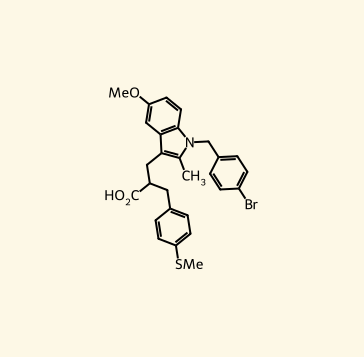 COc1ccc2c(c1)c(CC(Cc1ccc(SC)cc1)C(=O)O)c(C)n2Cc1ccc(Br)cc1